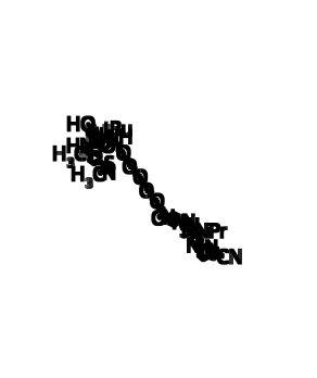 Cc1ncsc1-c1ccc([C@H](C)NC(=O)[C@@H]2C[C@@H](O)CN2C(=O)[C@@H](NC(=O)CCOCCOCCOCCOCCOCCC(=O)N2CCN(c3nnc(-c4cnc(-c5ccc6cc(C#N)cnn56)cc4NC(C)C)s3)CC2)C(C)(C)C)cc1